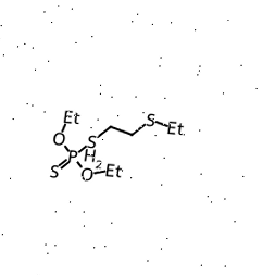 CCOP(=S)(OCC)[SH2]CCSCC